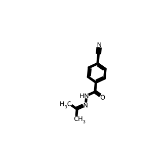 CC(C)=NNC(=O)c1ccc(C#N)cc1